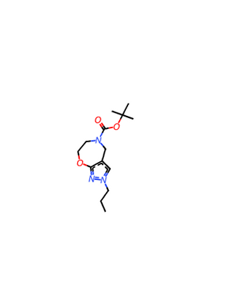 CCCn1cc2c(n1)OCCN(C(=O)OC(C)(C)C)C2